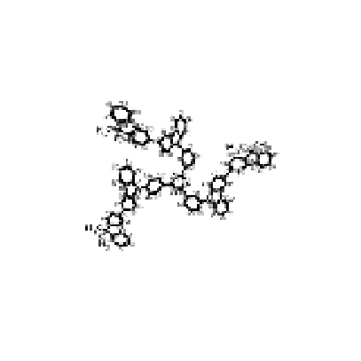 CC1(C)c2ccccc2-c2cc(-c3ccc4c(c3)c3ccccc3n4-c3ccc(-c4nc(-c5cccc(-n6c7ccccc7c7cc(-c8ccc9c(c8)-c8ccccc8C9(C)C)ccc76)c5)nc(-c5cccc(-n6c7ccccc7c7cc(-c8ccc9c(c8)-c8ccccc8C9(C)C)ccc76)c5)n4)cc3)ccc21